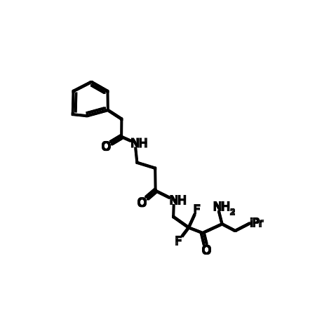 CC(C)CC(N)C(=O)C(F)(F)CNC(=O)CCNC(=O)Cc1ccccc1